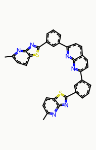 Cc1ccc2sc(-c3cccc(-c4ccc5ccc(-c6cccc(-c7nc8nc(C)ccc8s7)c6)nc5n4)c3)nc2n1